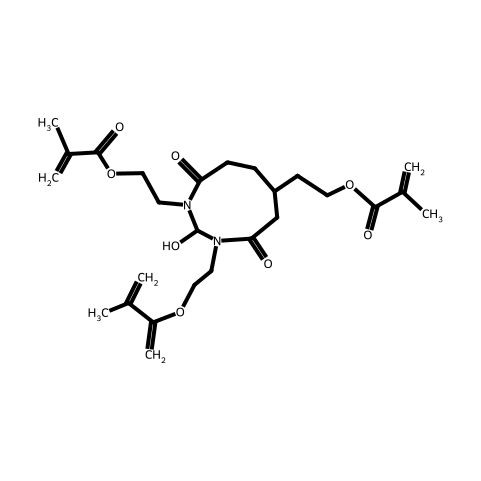 C=C(C)C(=C)OCCN1C(=O)CC(CCOC(=O)C(=C)C)CCC(=O)N(CCOC(=O)C(=C)C)C1O